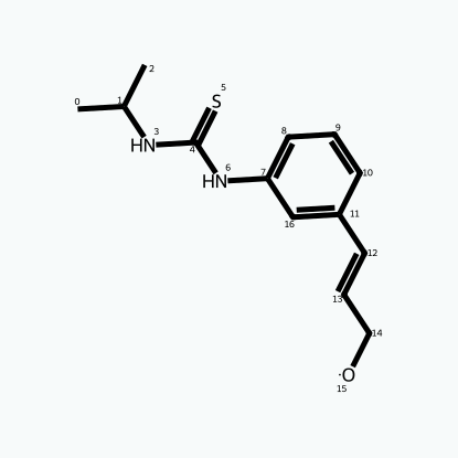 CC(C)NC(=S)Nc1cccc(C=CC[O])c1